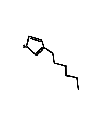 CCCCCCc1cc[se]c1